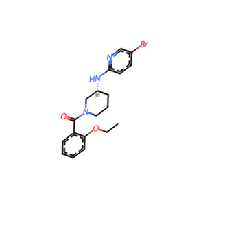 CCOc1ccccc1C(=O)N1CCC[C@@H](Nc2ccc(Br)cn2)C1